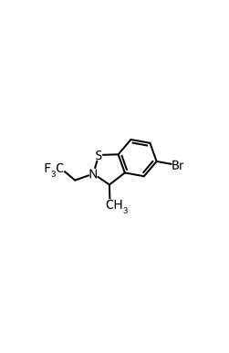 CC1c2cc(Br)ccc2SN1CC(F)(F)F